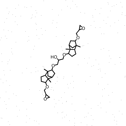 CC12CC(CC1OCC1CO1)C1(C)C(OCC(O)COC3CC4CC3(C)C3CCC(OCC5CO5)C43C)CCC21